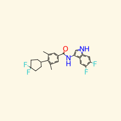 Cc1cc(C(=O)Nc2c[nH]c3cc(F)c(F)cc23)cc(C)c1C1CCC(F)(F)CC1